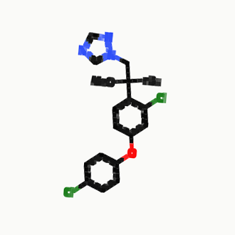 CCCCC(Cn1cncn1)(OC)c1ccc(Oc2ccc(Cl)cc2)cc1Cl